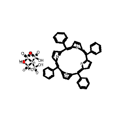 C1=Cc2nc1c(-c1ccccc1)c1ccc([nH]1)c(-c1ccccc1)c1nc(c(-c3ccccc3)c3ccc([nH]3)c2-c2ccccc2)C=C1.O=[S](=O)(O)[Zn]([S](=O)(=O)O)([S](=O)(=O)O)[S](=O)(=O)O